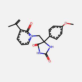 C=C(C)c1cccn(CC2(c3ccc(OC)cc3)NC(=O)NC2=O)c1=O